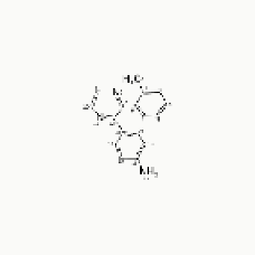 Cc1ccccc1-c1nccnc1-c1ccc(N)cc1